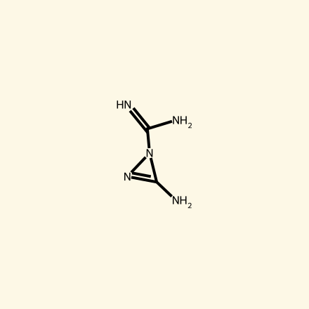 N=C(N)N1N=C1N